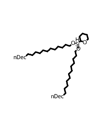 CCCCCCCCCCCCCCCCCCCCCCO[SiH](OCCCCCCCCCCCCCCCCCCCCCC)C1CCCCO1